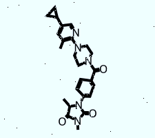 Cc1cc(C2CC2)cnc1N1CCN(C(=O)c2ccc(N3C(=O)N(C)C(=O)C3C)cc2)CC1